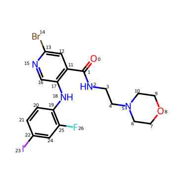 O=C(NCCN1CCOCC1)c1cc(Br)ncc1Nc1ccc(I)cc1F